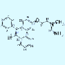 CC/C(=C(\c1ccccc1)c1ccc(OCCN(C)CN)cc1)c1ccccc1